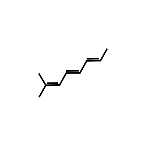 C/C=C/C=C/C=C(C)C